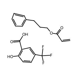 C=CC(=O)OCCCc1ccccc1.O=C(O)c1cc(C(F)(F)F)ccc1O